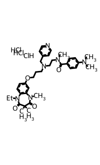 CCN1C(=O)C(C)(C)C(=O)N(C)c2cc(OCCCN(CCN(C)C(=O)c3ccc(N(C)C)cc3)Cc3ccncc3)ccc21.Cl.Cl.Cl